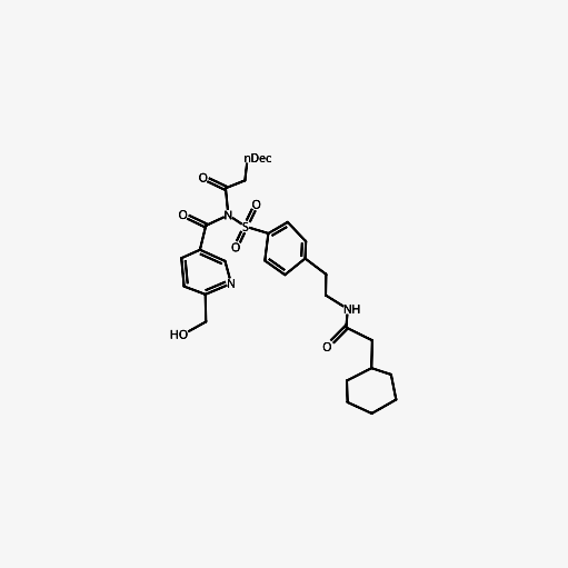 CCCCCCCCCCCC(=O)N(C(=O)c1ccc(CO)nc1)S(=O)(=O)c1ccc(CCNC(=O)CC2CCCCC2)cc1